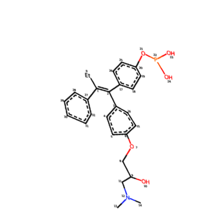 CC/C(=C(/c1ccc(OCC(O)CN(C)C)cc1)c1ccc(OP(O)O)cc1)c1ccccc1